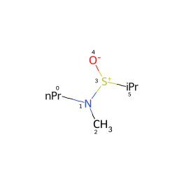 CCCN(C)[S+]([O-])C(C)C